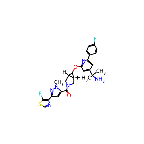 Cn1nc(-c2ncsc2F)cc1C(=O)N1C[C@@H]2C(Oc3cc(C(C)(C)N)cc(-c4ccc(F)cc4)n3)[C@@H]2C1